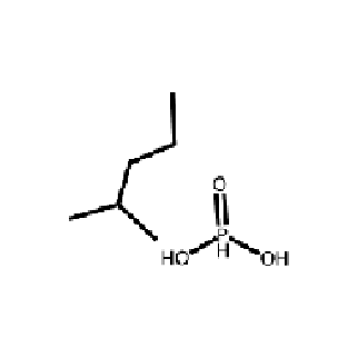 CCCC(C)C.O=[PH](O)O